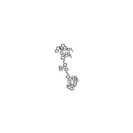 C=C/C=c1/cccc/c1=C(/C)N(c1ccc2c(c1)C(C)(C)c1cc(/C=C/c3ccc4c(c3)C(CC)(CC)c3cc(/C=C/c5ccc6c(c5)C(C)(C)C5=C6CCC(N(c6nccc7ccccc67)c6nccc7ccccc67)=C5)ccc3-4)ccc1-2)c1nccc2ccccc12